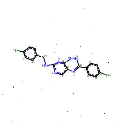 Fc1ccc(CNc2ncc3c(n2)N[N]C(c2ccc(F)cc2)=N3)cc1